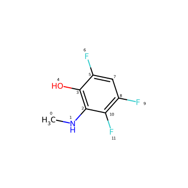 CNc1c(O)c(F)cc(F)c1F